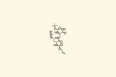 C=CCOC(=O)NC(CCN=[N+]=[N-])C(=O)NC[C@H](NC(=O)OC(C)(C)C)C(=O)O